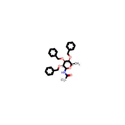 C[C@H]1OC(NC(=O)C(Cl)(Cl)Cl)[C@H](OCc2ccccc2)[C@@H](OCc2ccccc2)[C@H]1OCc1ccccc1